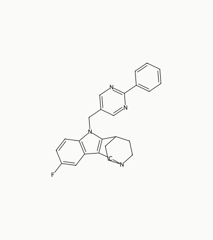 Fc1ccc2c(c1)c1c(n2Cc2cnc(-c3ccccc3)nc2)C2CCN(CC2)C1